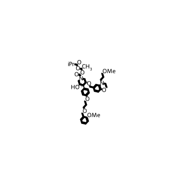 COCCCN1CCOc2ccc(CO[C@H]3CN(C(=O)OC(C)OC(=O)C(C)C)C[C@@H](O)[C@@H]3c3ccc(OCCCOCc4ccccc4OC)cc3)cc21